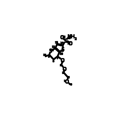 COCCOCOC1CC(C)Sc2cc(S(N)(=O)=O)sc21